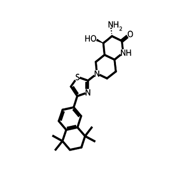 CC1(C)CCC(C)(C)c2cc(-c3csc(N4CCC5NC(=O)[C@@H](N)[C@H](O)C5C4)n3)ccc21